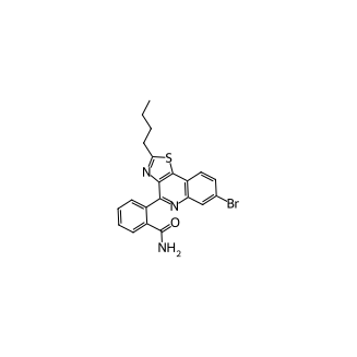 CCCCc1nc2c(-c3ccccc3C(N)=O)nc3cc(Br)ccc3c2s1